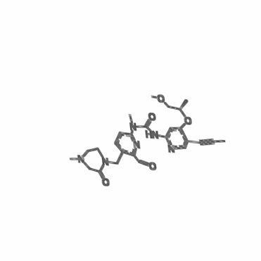 CC#Cc1cnc(NC(=O)N(C)c2ccc(CN3CCN(C)CC3=O)c(C=O)n2)cc1O[C@H](C)COC